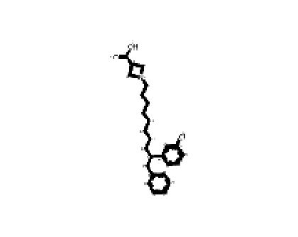 O=C(O)C1CN(CCCCCCCCC(Cc2ccccc2)c2cccc(Cl)c2)C1